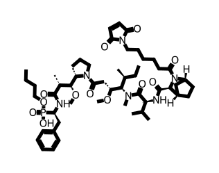 CCCCOP(=O)(O)[C@H](Cc1ccccc1)NC(=O)[C@H](C)[C@@H](OC)[C@@H]1CCCN1C(=O)C[C@@H](OC)[C@H]([C@@H](C)CC)N(C)C(=O)[C@@H](NC(=O)[C@@H]1[C@H]2CC[C@H](C2)N1C(=O)CCCCCN1C(=O)C=CC1=O)C(C)C